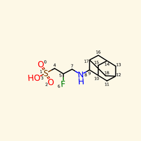 O=S(=O)(O)CC(F)CNC1C2CC3CC(C2)CC1C3